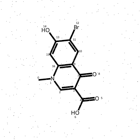 Cn1cc(C(=O)O)c(=O)c2cc(Br)c(O)cc21